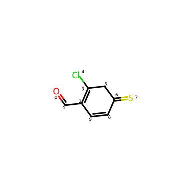 O=CC1=C(Cl)CC(=S)C=C1